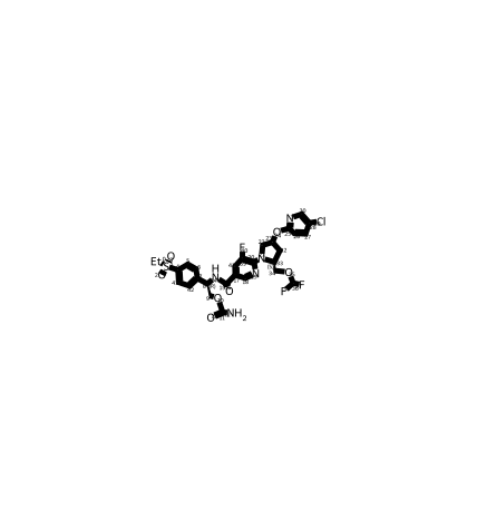 CCS(=O)(=O)c1ccc([C@H](COC(N)=O)NC(=O)c2cnc(N3CC(Oc4ccc(Cl)cn4)C[C@H]3COC(F)F)c(F)c2)cc1